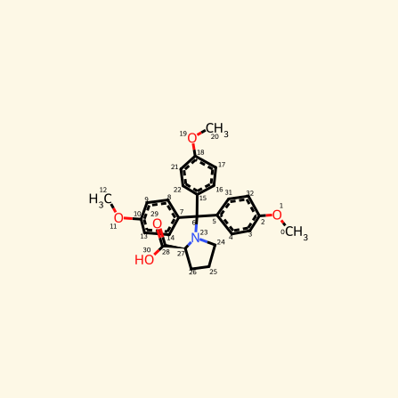 COc1ccc(C(c2ccc(OC)cc2)(c2ccc(OC)cc2)N2CCC[C@H]2C(=O)O)cc1